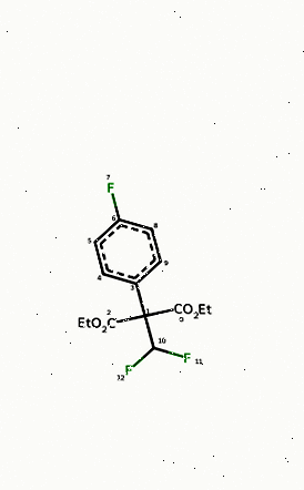 CCOC(=O)C(C(=O)OCC)(c1ccc(F)cc1)C(F)F